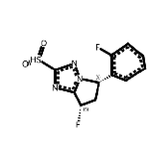 O=[SH](=O)c1nc2n(n1)[C@H](c1ccccc1F)C[C@@H]2F